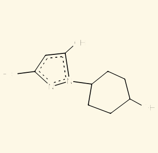 Cc1cc(C(F)(F)F)nn1C1CCC(O)CC1